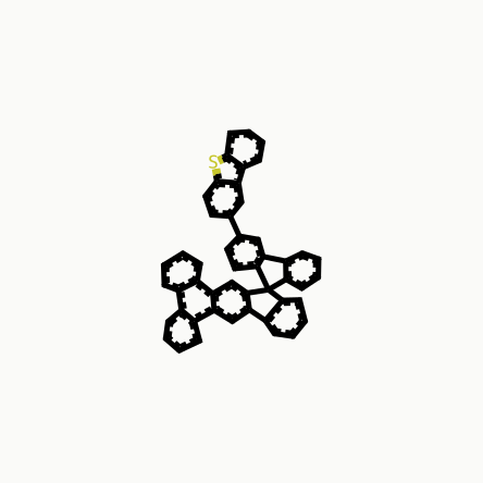 c1ccc2c(c1)-c1cc(-c3ccc4sc5ccccc5c4c3)ccc1C21c2ccccc2-c2cc3c4ccccc4c4ccccc4c3cc21